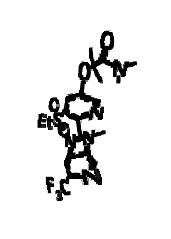 CCS(=O)(=O)c1cc(OC(C)(C)C(=O)N(C)C)cnc1-c1nc2cc(C(F)(F)F)ncc2n1C